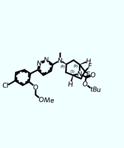 COCOc1cc(Cl)ccc1-c1ccc(N(C)[C@@H]2C[C@H]3CC(F)(F)[C@@H](C2)N3C(=O)OC(C)(C)C)nn1